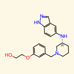 OCCOc1cccc(CN2CCC[C@@H](Nc3ccc4[nH]ncc4c3)C2)c1